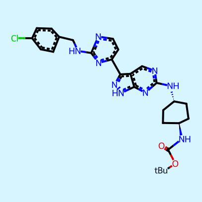 CC(C)(C)OC(=O)N[C@H]1CC[C@H](Nc2ncc3c(-c4ccnc(NCc5ccc(Cl)cc5)n4)n[nH]c3n2)CC1